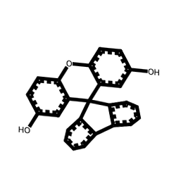 Oc1ccc2c(c1)C1(c3cc(O)ccc3O2)c2ccccc2-c2ccccc21